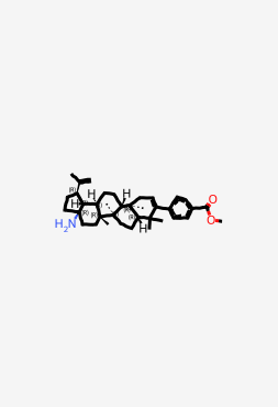 C=C(C)[C@@H]1CC[C@@]2(N)CC[C@]3(C)[C@H](CC[C@@H]4[C@@]5(C)CC=C(c6ccc(C(=O)OC)cc6)C(C)(C)[C@@H]5CC[C@]43C)[C@@H]12